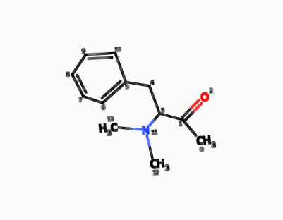 CC(=O)C(Cc1ccccc1)N(C)C